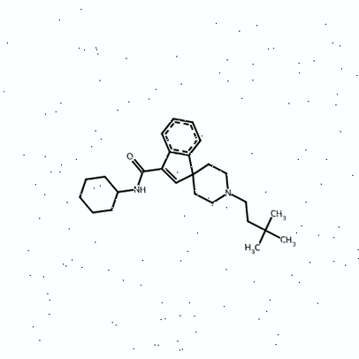 CC(C)(C)CCN1CCC2(C=C(C(=O)NC3CCCCC3)c3ccccc32)CC1